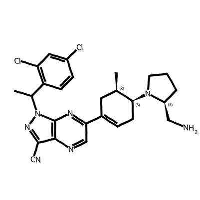 CC(c1ccc(Cl)cc1Cl)n1nc(C#N)c2ncc(C3=CC[C@H](N4CCC[C@H]4CN)[C@H](C)C3)nc21